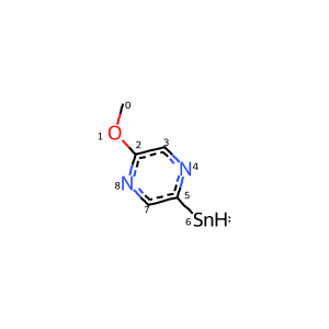 COc1cn[c]([SnH])cn1